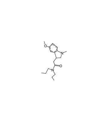 CCCN(CCC)C(=O)CC1CN(C)c2ccc(OC)cc21